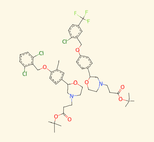 CC(C)(C)OC(=O)CCN1CCOC(c2ccc(OCc3cc(C(F)(F)F)ccc3Cl)cc2)C1.Cc1cc(C2CN(CCC(=O)OC(C)(C)C)CCO2)ccc1OCc1c(Cl)cccc1Cl